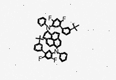 CC(C)(C)c1cccc(-c2cc(N(c3ccccc3)c3ccc4ccc5c(N(c6ccccc6)c6cc(-c7cccc(C(C)(C)C)c7)c(F)cc6F)ccc6ccc3c4c65)c(F)cc2F)c1